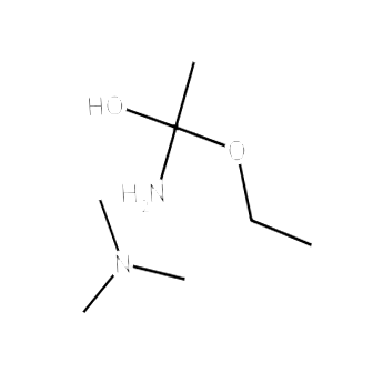 CCOC(C)(N)O.CN(C)C